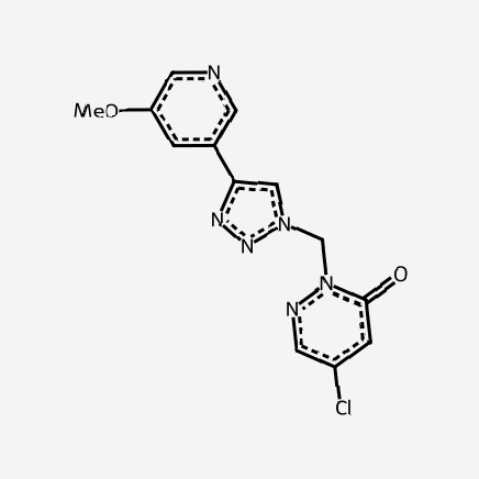 COc1cncc(-c2cn(Cn3ncc(Cl)cc3=O)nn2)c1